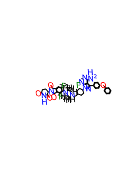 [2H]C1([2H])N(CC2CCC(n3nc(-c4ccc(Oc5ccccc5)cc4)c4c(N)ncnc43)C(F)C2)C([2H])([2H])C([2H])([2H])N(c2c(F)cc3c(c2F)C(=O)N(C2CCC(=O)NC2=O)C3=O)C1([2H])[2H]